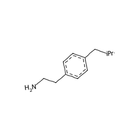 C[C](C)Cc1ccc(CCN)cc1